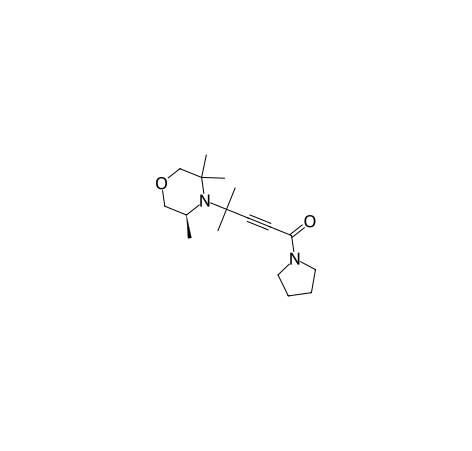 C[C@H]1COCC(C)(C)N1C(C)(C)C#CC(=O)N1CCCC1